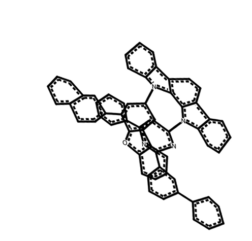 c1ccc(-c2cccc(-c3nc(-c4ccccc4)nc(-n4c5ccccc5c5ccc6c7ccccc7n(-c7cc(-c8ccc9ccccc9c8)c8oc9ccccc9c8c7)c6c54)n3)c2)cc1